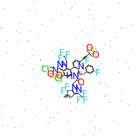 C[C@@H]1Cc2c(C(F)(F)F)nn(CC(=O)N[C@@H](Cc3cc(F)cc(F)c3)c3nc(C#CC(C)(C)S(C)(=O)=O)ccc3-c3ccc(Cl)c4c(N(CCl)S(C)(=O)=O)nn(CC(F)(F)F)c34)c2C1(F)F